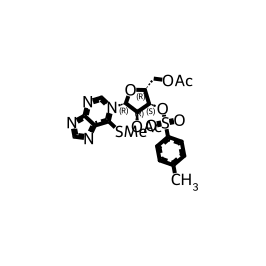 CSc1c2ncnc-2ncn1[C@@H]1O[C@H](COC(C)=O)[C@H](OS(=O)(=O)c2ccc(C)cc2)[C@H]1OC(C)=O